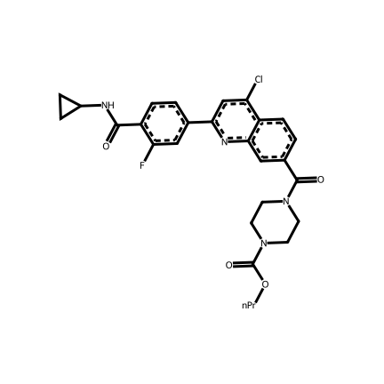 CCCOC(=O)N1CCN(C(=O)c2ccc3c(Cl)cc(-c4ccc(C(=O)NC5CC5)c(F)c4)nc3c2)CC1